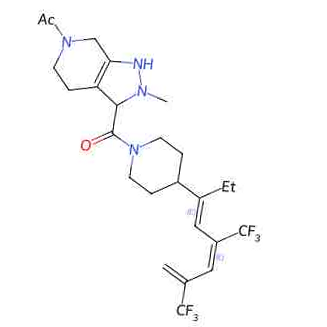 C=C(/C=C(\C=C(/CC)C1CCN(C(=O)C2C3=C(CN(C(C)=O)CC3)NN2C)CC1)C(F)(F)F)C(F)(F)F